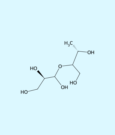 C[C@H](O)C(CO)OC(O)[C@H](O)CO